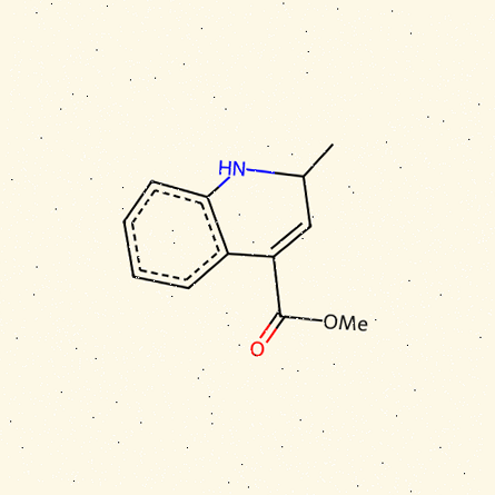 COC(=O)C1=CC(C)Nc2ccccc21